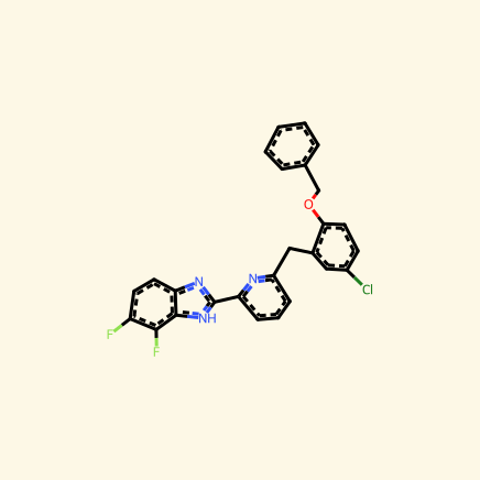 Fc1ccc2nc(-c3cccc(Cc4cc(Cl)ccc4OCc4ccccc4)n3)[nH]c2c1F